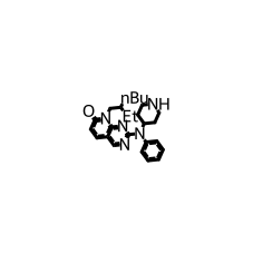 CCCCC(CC)Cn1c(=O)ccc2cnc(N(c3ccccc3)C3CCNCC3)nc21